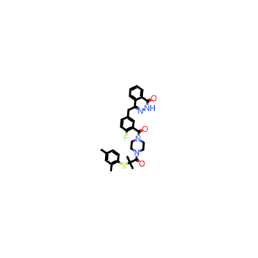 Cc1ccc(SC(C)(C)C(=O)N2CCN(C(=O)c3cc(Cc4n[nH]c(=O)c5ccccc45)ccc3F)CC2)c(C)c1